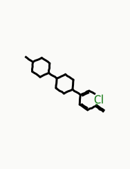 C=C(Cl)/C=C\C(=C/C)C1CCC(C2CCC(C)CC2)CC1